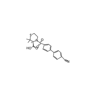 CC1(C)SCCN(S(=O)(=O)c2ccc(-c3ccc(C#N)cc3)cc2)[C@H]1C(=O)O